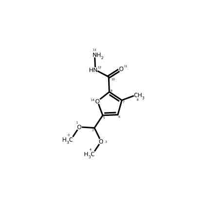 COC(OC)c1cc(C)c(C(=O)NN)o1